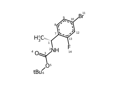 C[C@@H](NC(=O)OC(C)(C)C)c1ccc(Br)cc1F